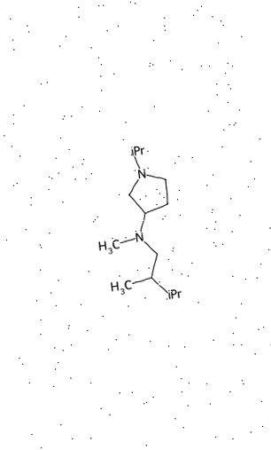 CC(C)C(C)CN(C)C1CCN(C(C)C)C1